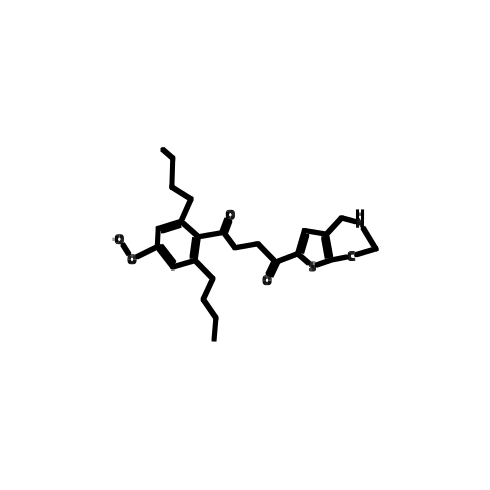 CCCCc1[c]c(O[O])cc(CCCC)c1C(=O)CCC(=O)c1cc2c(s1)CCNC2